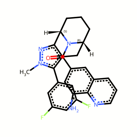 Cn1nc2c(c1-c1cc(F)cc(F)c1)C[C@H]1CCC[C@@H]2N1C(=O)c1cc(N)c2ncccc2c1